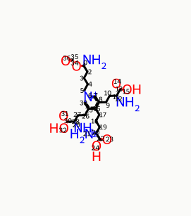 NC(CCCC[n+]1cc(CCC(N)C(=O)O)c(CCCC(N)C(=O)O)c(CCC(N)C(=O)O)c1)OC=O